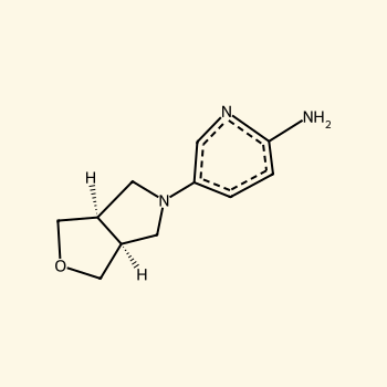 Nc1ccc(N2C[C@H]3COC[C@H]3C2)cn1